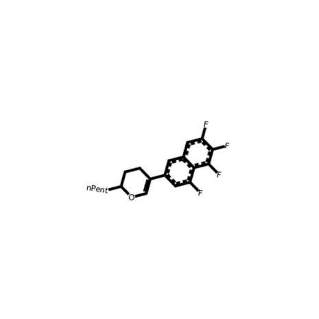 CCCCCC1CCC(c2cc(F)c3c(F)c(F)c(F)cc3c2)=CO1